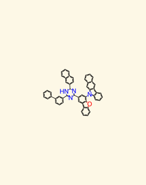 c1ccc(-c2cccc(C3=NC(c4cc(-n5c6ccccc6c6cc7ccccc7cc65)c5oc6ccccc6c5c4)=NC(c4ccc5ccccc5c4)N3)c2)cc1